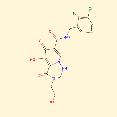 O=C(NCc1cccc(Cl)c1F)c1cn2c(c(O)c1=O)C(=O)N(CCO)CN2